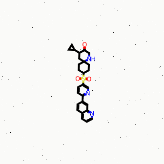 O=C1CNC2(CCC(S(=O)(=O)c3ccc(-c4ccc5cccnc5c4)nc3)CC2)CC1C1CC1